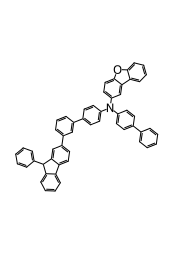 c1ccc(-c2ccc(N(c3ccc(-c4cccc(-c5ccc6c(c5)C(c5ccccc5)c5ccccc5-6)c4)cc3)c3ccc4oc5ccccc5c4c3)cc2)cc1